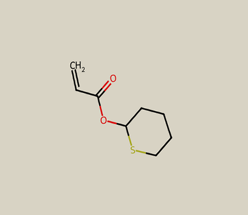 C=CC(=O)OC1CCCCS1